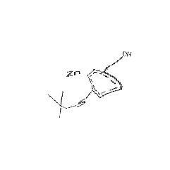 CC(C)(C)Sc1ccc(O)cc1.[Zn]